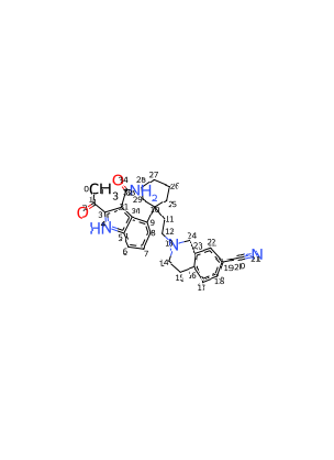 CC(=O)c1[nH]c2cccc(C3(CCN4CCc5ccc(C#N)cc5C4)CCCCC3)c2c1C(N)=O